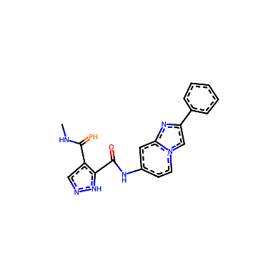 CNC(=P)c1cn[nH]c1C(=O)Nc1ccn2cc(-c3ccccc3)nc2c1